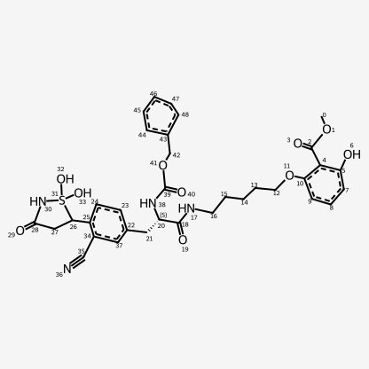 COC(=O)c1c(O)cccc1OCCCCCNC(=O)[C@H](Cc1ccc(C2CC(=O)NS2(O)O)c(C#N)c1)NC(=O)OCc1ccccc1